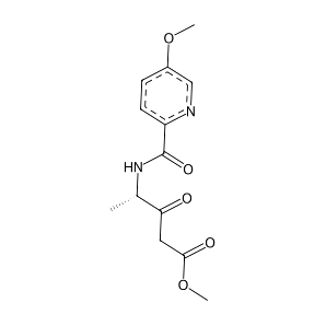 COC(=O)CC(=O)[C@H](C)NC(=O)c1ccc(OC)cn1